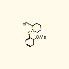 CCCC1CCCCN1Sc1ccccc1OC